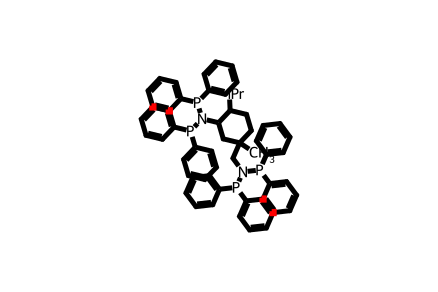 CC(C)C1CCC(C)(CN(P(c2ccccc2)c2ccccc2)P(c2ccccc2)c2ccccc2)CC1N(P(c1ccccc1)c1ccccc1)P(c1ccccc1)c1ccccc1